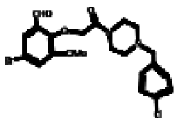 COc1cc(Br)cc(C=O)c1OCC(=O)N1CCN(Cc2ccc(Cl)cc2)CC1